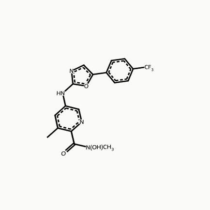 Cc1cc(Nc2ncc(-c3ccc(C(F)(F)F)cc3)o2)cnc1C(=O)N(C)O